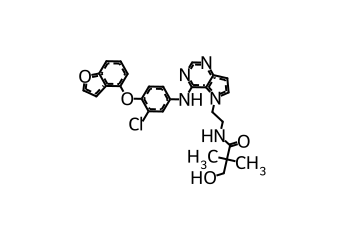 CC(C)(CO)C(=O)NCCn1ccc2ncnc(Nc3ccc(Oc4cccc5occc45)c(Cl)c3)c21